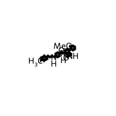 COc1ccccc1-c1ccc(NC(=O)c2ccc(NCCCN3CCN(C)CC3)cc2)c2c1CNC2=O